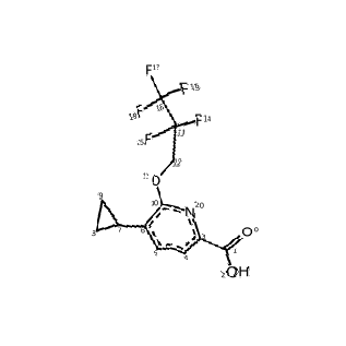 O=C(O)c1ccc(C2CC2)c(OCC(F)(F)C(F)(F)F)n1